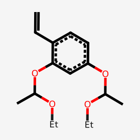 C=Cc1ccc(OC(C)OCC)cc1OC(C)OCC